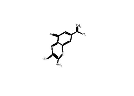 C=C(c1cc2oc(N)c(CC)cc-2c(=O)c1)C(F)(F)F